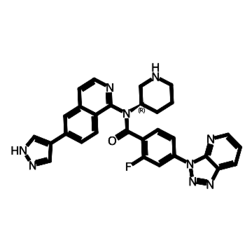 O=C(c1ccc(-n2nnc3cccnc32)cc1F)N(c1nccc2cc(-c3cn[nH]c3)ccc12)[C@@H]1CCCNC1